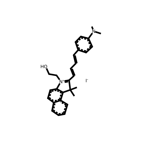 CN(C)c1ccc(/C=C/C=C/C2=[N+](CCO)c3ccc4ccccc4c3C2(C)C)cc1.[I-]